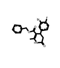 CC1=C(C(=O)OCc2ccccc2)C(c2ccc(F)c(Br)c2)CC(=O)N1